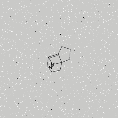 [N-]=[N+]1C2=C3CCCC31CCC2